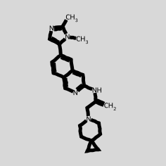 C=C(CN1CCC2(CC1)CC2)Nc1cc2cc(-c3cnc(C)n3C)ccc2cn1